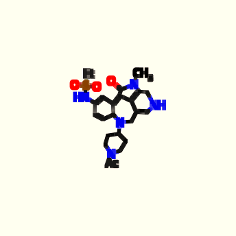 CCS(=O)(=O)NC1=CC2=C3C(=O)N(C)C4=C3C(=CNC4)CN(C3CCN(C(C)=O)CC3)C2C=C1